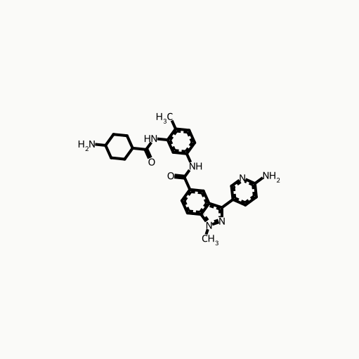 Cc1ccc(NC(=O)c2ccc3c(c2)c(-c2ccc(N)nc2)nn3C)cc1NC(=O)C1CCC(N)CC1